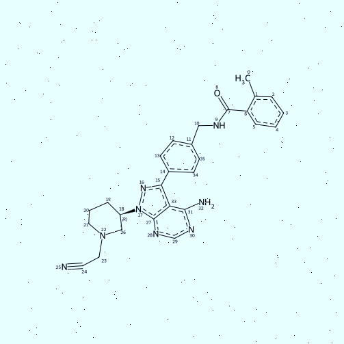 Cc1ccccc1C(=O)NCc1ccc(-c2nn([C@@H]3CCCN(CC#N)C3)c3ncnc(N)c23)cc1